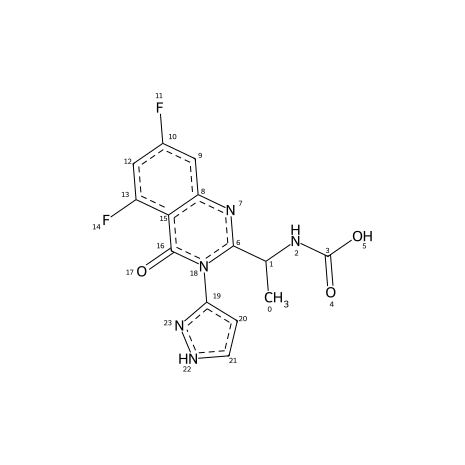 CC(NC(=O)O)c1nc2cc(F)cc(F)c2c(=O)n1-c1cc[nH]n1